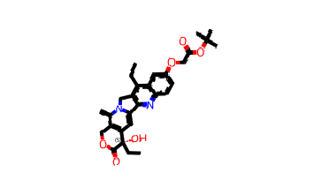 C=C1C2=C(C=C3c4nc5ccc(OCC(=O)OC(C)(C)C)cc5c(CC)c4CN13)[C@@](O)(CC)C(=O)OC2